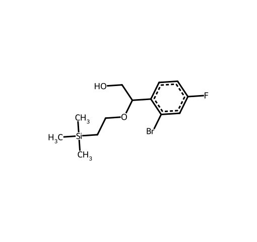 C[Si](C)(C)CCOC(CO)c1ccc(F)cc1Br